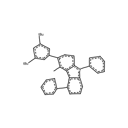 Cc1c(-c2cc(C(C)(C)C)cc(C(C)(C)C)c2)ccc2c1c1c(-c3ccccc3)cccc1n2-c1ccccc1